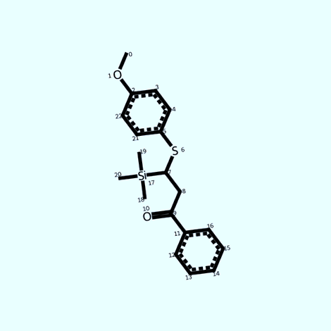 COc1ccc(SC(CC(=O)c2ccccc2)[Si](C)(C)C)cc1